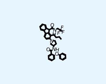 CCCCc1c(N2CCC(NC(=O)c3ccccc3Oc3ccccc3)C2)ccc2c1C(C(=O)NCC(F)(F)F)c1ccccc1-2